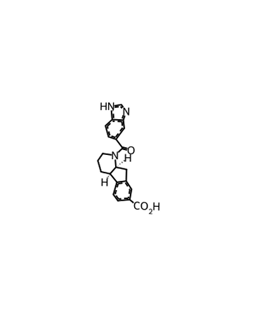 O=C(O)c1ccc2c(c1)C[C@H]1[C@@H]2CCCN1C(=O)c1ccc2[nH]cnc2c1